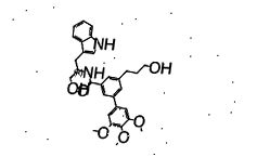 COc1cc(-c2cc(CCCO)cc(C(=O)N[C@@H](CO)Cc3c[nH]c4ccccc34)c2)cc(OC)c1OC